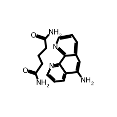 NC(=O)CCCC(N)=O.Nc1cc2cccnc2c2ncccc12